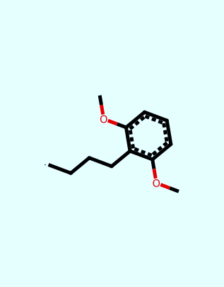 [CH2]CCCc1c(OC)cccc1OC